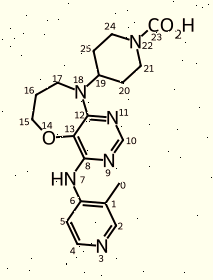 Cc1cnccc1Nc1ncnc2c1OCCCN2C1CCN(C(=O)O)CC1